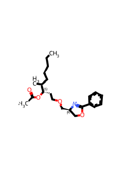 CCCCCC(C)[C@H](CCOC[C@@H]1COC(c2ccccc2)=N1)OC(C)=O